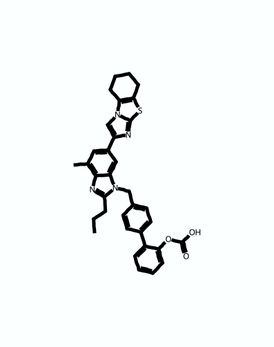 CCCc1nc2c(C)cc(-c3cn4c5c(sc4n3)CCCC5)cc2n1Cc1ccc(-c2ccccc2OC(=O)O)cc1